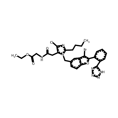 CCCCc1nc(Cl)c(CC(=O)NCC(=O)OCC)n1Cc1ccc2oc(-c3ccccc3-c3nnn[nH]3)c(Br)c2c1